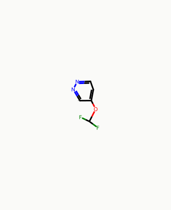 FC(F)Oc1[c]nncc1